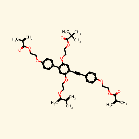 C=C(C)C(=C)OCCOc1cc(-c2ccc(OCCOC(=O)C(=C)C)cc2)c(OCCOC(=O)C(C)(C)C)cc1C#Cc1ccc(OCCOC(=O)C(=C)C)cc1